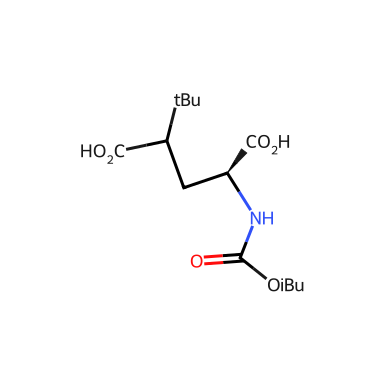 CC(C)COC(=O)N[C@@H](CC(C(=O)O)C(C)(C)C)C(=O)O